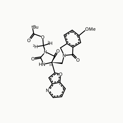 [2H]C([2H])(OC(=O)C(C)(C)C)N1C(=O)N[C@@](CN2Cc3ccc(OC)cc3C2=O)(c2cc3ncccc3o2)C1=O